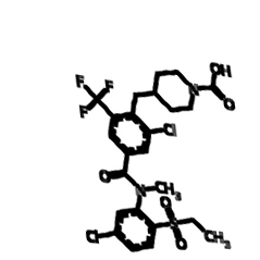 CCS(=O)(=O)c1ccc(Cl)cc1N(C)C(=O)c1cc(Cl)c(CC2CCN(C(=O)O)CC2)c(C(F)(F)F)c1